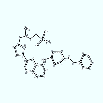 CN(CCS(C)(=O)=O)Cc1ccc(-c2ccc3ncnc(Nc4ccc(OCc5ccccc5)cc4)c3c2)o1